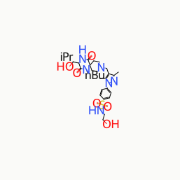 CCCCN1C(=O)[C@@H]([C@H](O)C(C)C)NC(=O)C12CCN(Cc1c(C)nn(-c3ccc(S(=O)(=O)NCCO)cc3)c1C)CC2